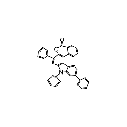 O=c1oc2c(-c3ccccc3)cc3c(c4ccc(-c5ccccc5)cc4n3-c3ccccc3)c2c2ccccc12